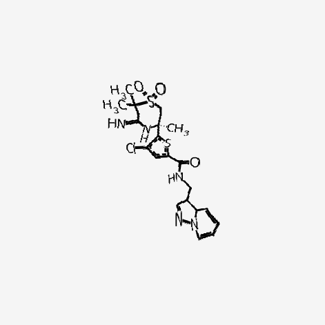 CC1(C)C(=N)N[C@](C)(c2sc(C(=O)NCC3C=NN4C=CC=CC34)cc2Cl)CS1(=O)=O